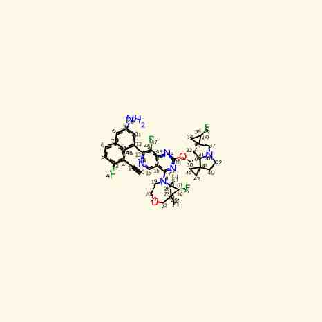 C#Cc1c(F)ccc2cc(N)cc(-c3ncc4c(N5CCOC[C@H]6[C@H](F)[C@H]65)nc(OC[C@]56C[C@@]7(C[C@H]7F)CN5CCC65CC5)nc4c3F)c12